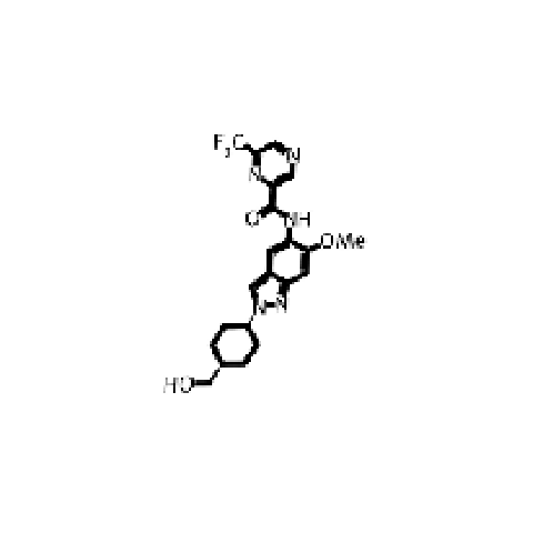 COc1cc2nn([C@H]3CC[C@H](CO)CC3)cc2cc1NC(=O)c1cncc(C(F)(F)F)n1